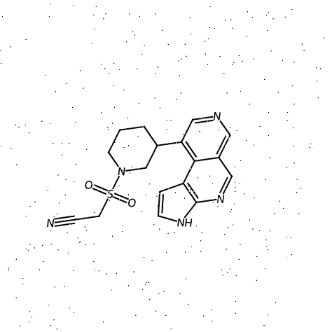 N#CCS(=O)(=O)N1CCCC(c2cncc3cnc4[nH]ccc4c23)C1